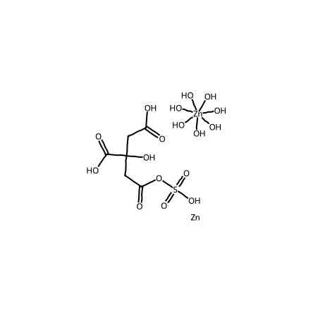 O=C(O)CC(O)(CC(=O)OS(=O)(=O)O)C(=O)O.[OH][Zn]([OH])([OH])([OH])([OH])([OH])[OH].[Zn]